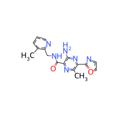 Cc1cccnc1CNC(=O)c1nc(C)c(-c2ncco2)nc1N